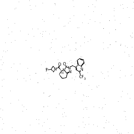 O=C([C@@H]1CCCc2nn(Cc3cc(C(F)(F)F)nc4ccccc34)c(=O)n21)N1CC(F)C1